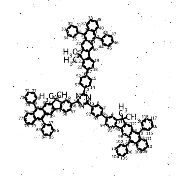 CC1(C)c2cc(-c3ccc(-c4nc(-c5ccc(-c6ccc7c(c6)C(C)(C)c6cc8c(-c9ccccc9)c9ccccc9c(-c9ccccc9)c8cc6-7)cc5)nc(-c5ccc6c(c5)C(C)(C)c5cc7c(-c8ccccc8)c8ccccc8c(-c8ccccc8)c7cc5-6)n4)cc3)ccc2-c2cc3c(-c4ccccc4)c4ccccc4c(-c4ccccc4)c3cc21